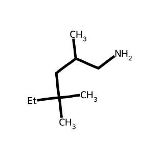 CCC(C)(C)CC(C)CN